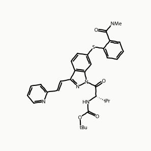 CNC(=O)c1ccccc1Sc1ccc2c(/C=C/c3ccccn3)nn(C(=O)[C@@H](NC(=O)OC(C)(C)C)C(C)C)c2c1